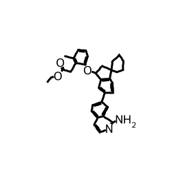 CCOC(=O)Cc1c(C)cccc1OC1CC2(CCCCC2)c2ccc(-c3ccc4ccnc(N)c4c3)cc21